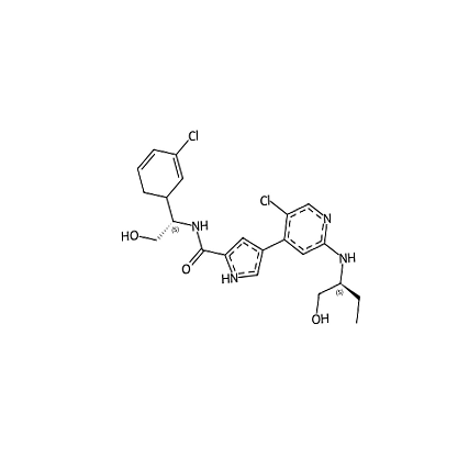 CC[C@@H](CO)Nc1cc(-c2c[nH]c(C(=O)N[C@H](CO)C3C=C(Cl)C=CC3)c2)c(Cl)cn1